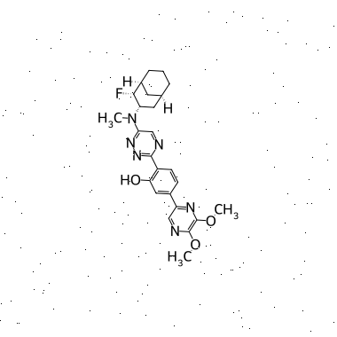 COc1ncc(-c2ccc(-c3ncc(N(C)[C@H]4C[C@@H]5CCC[C@@H](C5)[C@H]4F)nn3)c(O)c2)nc1OC